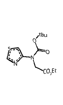 CCOC(=O)CN(C(=O)OC(C)(C)C)c1cscn1